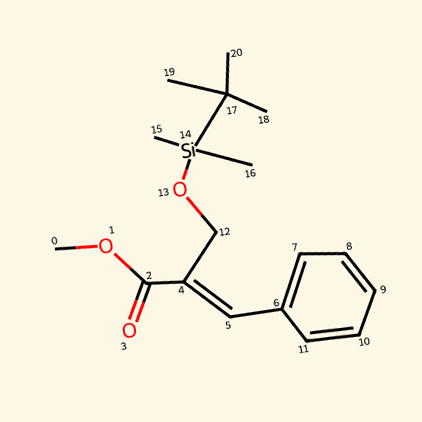 COC(=O)/C(=C/c1ccccc1)CO[Si](C)(C)C(C)(C)C